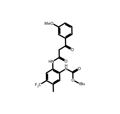 COc1cccc(C(=O)CC(=O)Nc2cc(C(F)(F)F)c(C)cc2NC(=O)OC(C)(C)C)c1